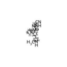 C[C@H]1CC(c2ccc(NC(=O)C3=NCC(C#N)N3)c(C3=CCCCC3)c2)CCN1